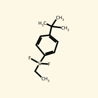 CC[Si](F)(F)c1ccc(C(C)(C)C)cc1